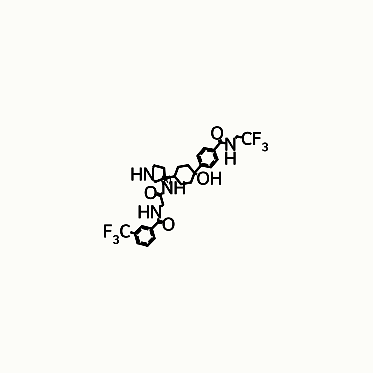 O=C(CNC(=O)c1cccc(C(F)(F)F)c1)N[C@@]1(C2CCC(O)(c3ccc(C(=O)NCC(F)(F)F)cc3)CC2)CCNC1